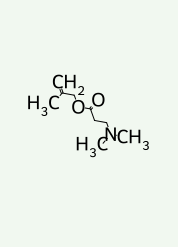 C=C(C)COC(=O)CCN(C)C